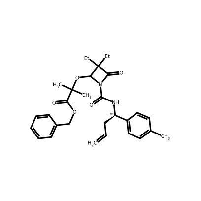 C=CC[C@@H](NC(=O)N1C(=O)C(CC)(CC)C1OC(C)(C)C(=O)OCc1ccccc1)c1ccc(C)cc1